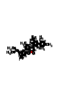 CCN(CC)CCc1cn(C(CC(C)C)C(=O)NC(CC(=O)O)c2c(F)c(-c3c(C)cc(C)cc3C)cc(C(F)(F)F)c2F)c(=O)cc1C(F)(F)F